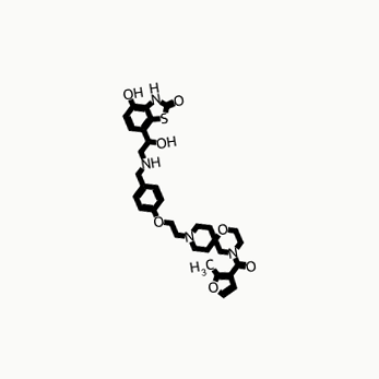 Cc1occc1C(=O)N1CCOC2(CCN(CCOc3ccc(CNCC(O)c4ccc(O)c5[nH]c(=O)sc45)cc3)CC2)C1